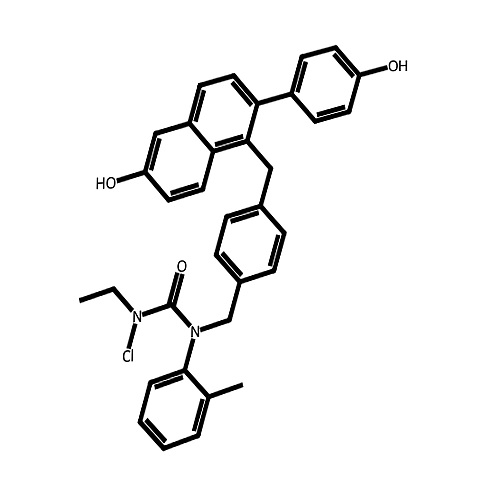 CCN(Cl)C(=O)N(Cc1ccc(Cc2c(-c3ccc(O)cc3)ccc3cc(O)ccc23)cc1)c1ccccc1C